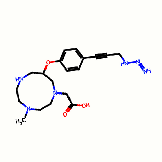 CN1CCNCC(Oc2ccc(C#CCNN=N)cc2)CN(CC(=O)O)CC1